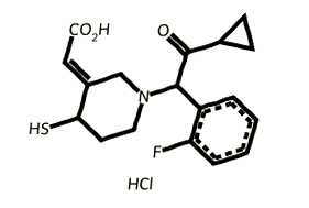 Cl.O=C(O)/C=C1\CN(C(C(=O)C2CC2)c2ccccc2F)CCC1S